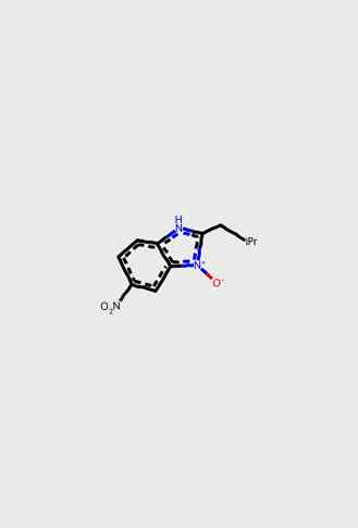 CC(C)Cc1[nH]c2ccc([N+](=O)[O-])cc2[n+]1[O-]